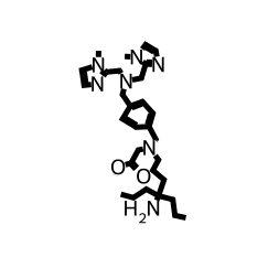 CCCC(N)(CCC)CCCN(CC(=O)OC)Cc1ccc(CN(Cc2nccn2C)Cc2nccn2C)cc1